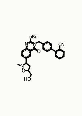 CCCCc1nc2ccc(C3CC(CO)ON3C)cc2c(=O)n1Cc1ccc(-c2ccccc2C#N)cc1